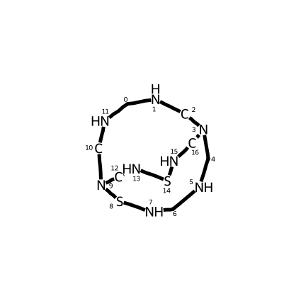 C1NCN2CNCNSN(CN1)CNSNC2